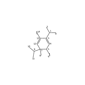 CC(C)C1=CC(I)C(C)(C(C)C)C=C1I